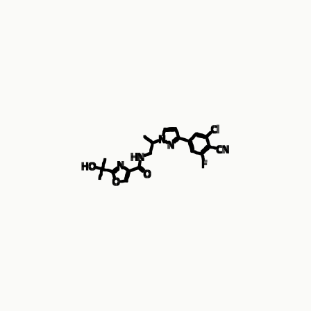 CC(CNC(=O)c1coc(C(C)(C)O)n1)n1ccc(-c2cc(F)c(C#N)c(Cl)c2)n1